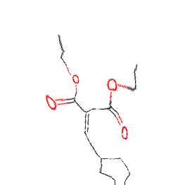 CCOC(=O)C(=CC1CCCC1)C(=O)OCC